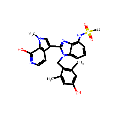 CCS(=O)(=O)Nc1cccc2c1nc(-c1cn(C)c3c(O)nccc13)n2Cc1c(C)cc(O)cc1C